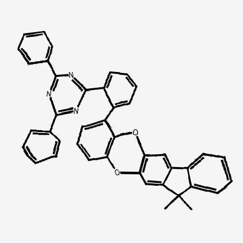 CC1(C)c2ccccc2-c2cc3c(cc21)Oc1cccc(-c2ccccc2-c2nc(-c4ccccc4)nc(-c4ccccc4)n2)c1O3